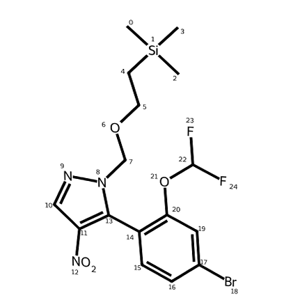 C[Si](C)(C)CCOCn1ncc([N+](=O)[O-])c1-c1ccc(Br)cc1OC(F)F